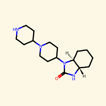 O=C1N[C@H]2CCCC[C@@H]2N1C1CCN(C2CCNCC2)CC1